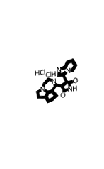 Cl.Cl.O=C1NC(=O)C(c2cnc3ccccn23)=C1C1=NC=CN2CCc3cccc1c32